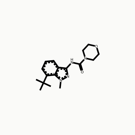 Cn1nc(NC(=O)N2CCOCC2)c2cccc(C(C)(C)C)c21